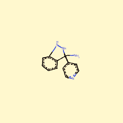 NC1(c2ccncc2)NNc2ccccc21